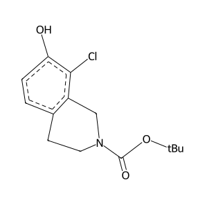 CC(C)(C)OC(=O)N1CCc2ccc(O)c(Cl)c2C1